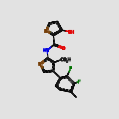 Cc1ccc(-c2csc(NC(=O)c3sccc3O)c2C(=O)O)c(F)c1F